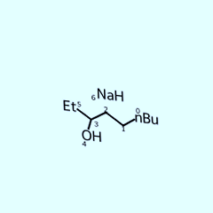 CCCCCCC(O)CC.[NaH]